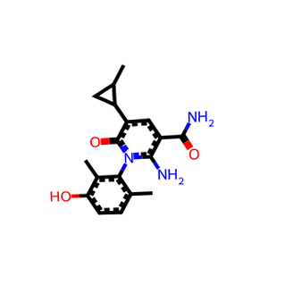 Cc1ccc(O)c(C)c1-n1c(N)c(C(N)=O)cc(C2CC2C)c1=O